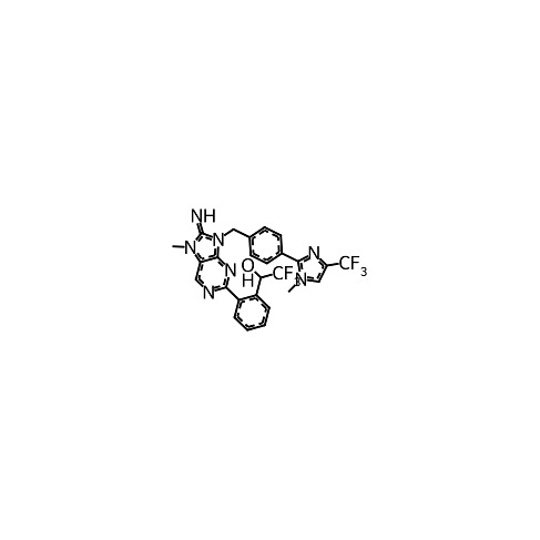 Cn1cc(C(F)(F)F)nc1-c1ccc(Cn2c(=N)n(C)c3cnc(-c4ccccc4C(O)C(F)(F)F)nc32)cc1